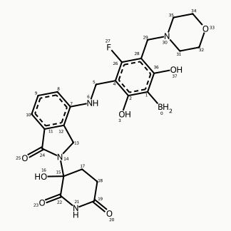 Bc1c(O)c(CNc2cccc3c2CN(C2(O)CCC(=O)NC2=O)C3=O)c(F)c(CN2CCOCC2)c1O